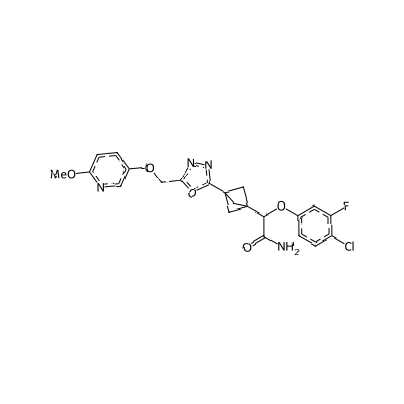 COc1ccc(OCc2nnc(C34CC(C(Oc5ccc(Cl)c(F)c5)C(N)=O)(C3)C4)o2)cn1